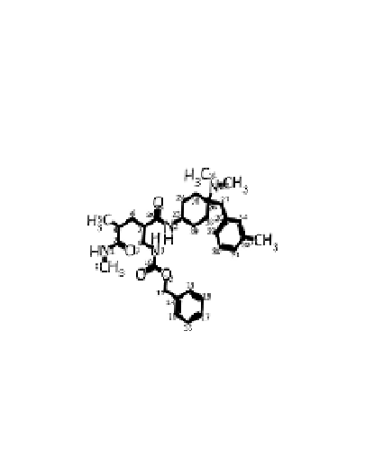 CNC(=O)C(C)CC(CNC(=O)OCc1ccccc1)C(=O)NC1CCC(Cc2cccc(C)c2)(N(C)C)CC1